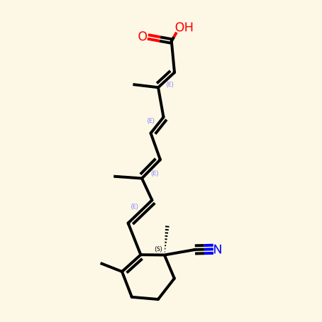 CC1=C(/C=C/C(C)=C/C=C/C(C)=C/C(=O)O)[C@@](C)(C#N)CCC1